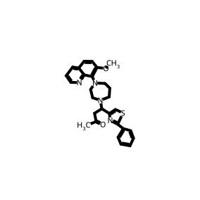 COc1ccc2cccnc2c1N1CCCN(C(CC(C)=O)c2csc(-c3ccccc3)n2)CC1